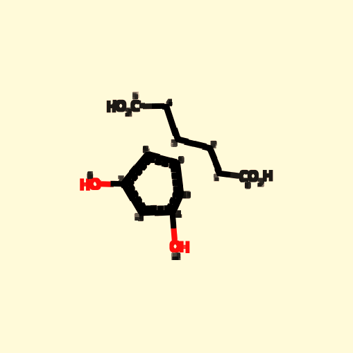 O=C(O)CCCCC(=O)O.Oc1cccc(O)c1